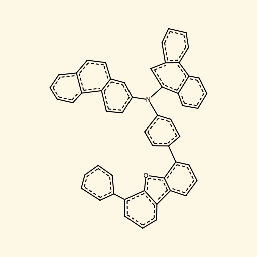 c1ccc(-c2cccc3c2oc2c(-c4ccc(N(c5ccc6c(ccc7ccccc76)c5)c5cc6ccccc6c6ccccc56)cc4)cccc23)cc1